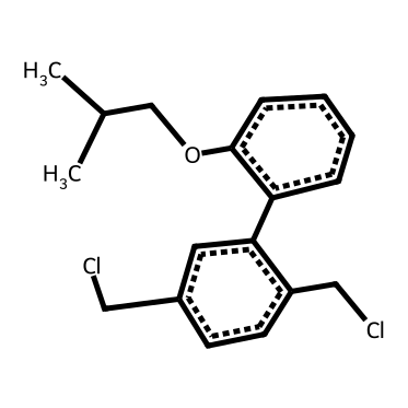 CC(C)COc1ccccc1-c1cc(CCl)ccc1CCl